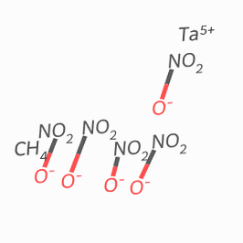 C.O=[N+]([O-])[O-].O=[N+]([O-])[O-].O=[N+]([O-])[O-].O=[N+]([O-])[O-].O=[N+]([O-])[O-].[Ta+5]